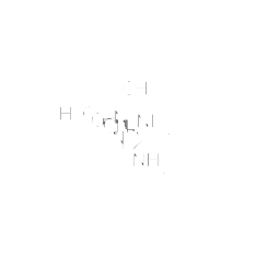 COC1(C)CCC(C)CN1c1ncc(N)cc1N